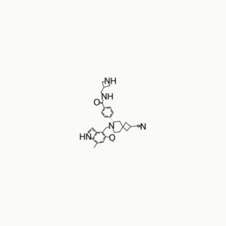 COc1cc(C)c2[nH]ccc2c1CN1CCC2(CC(C#N)C2)C[C@H]1c1ccc(C(=O)NCC2CNC2)cc1